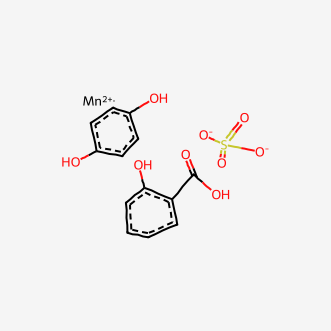 O=C(O)c1ccccc1O.O=S(=O)([O-])[O-].Oc1ccc(O)cc1.[Mn+2]